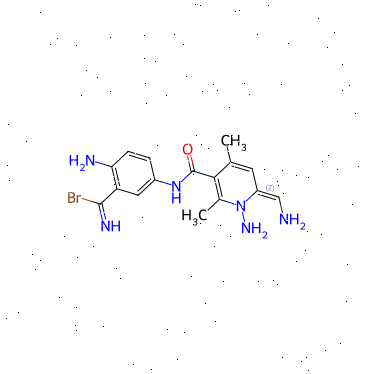 CC1=C/C(=C/N)N(N)C(C)=C1C(=O)Nc1ccc(N)c(C(=N)Br)c1